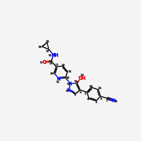 N#Cc1ccc(-c2cnn(-c3ccc(C(=O)NC4CC4)cn3)c2O)cc1